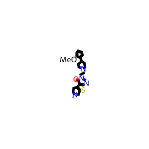 COc1ccccc1C1CCN(CCn2cnc3sc4c(c3c2=O)CCN(C)C4)CC1